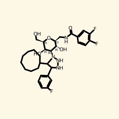 O=C(NC[C@@H]1O[C@H](CO)[C@H](O)[C@H](N2NNC(c3cccc(F)c3)C2C2CCCCCCCC2)[C@H]1O)c1ccc(F)c(F)c1